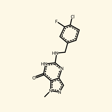 Cn1ncc2nc(NCc3ccc(Cl)c(F)c3)[nH]c(=O)c21